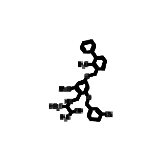 COc1cc(OCc2cccc(-c3ccccc3)c2C)cc(OCc2cccc(C#N)c2)c1CNC(C(=O)O)C(C)O